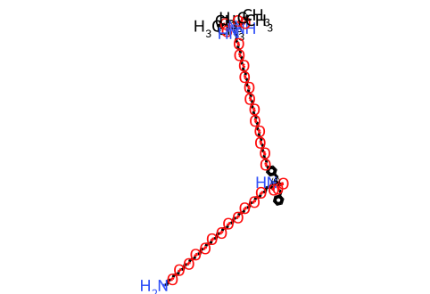 CC(C)(C)OC(=O)/N=C(\NCCOCCOCCOCCOCCOCCOCCOCCOCCOCCOCCOCCOc1ccc(C[C@H](NC(=O)CCOCCOCCOCCOCCOCCOCCOCCOCCOCCOCCOCCOCCN)C(=O)OCc2ccccc2)cc1)NC(=O)OC(C)(C)C